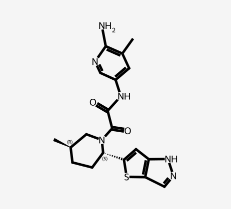 Cc1cc(NC(=O)C(=O)N2C[C@H](C)CC[C@H]2c2cc3[nH]ncc3s2)cnc1N